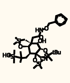 CC(C)(C[C@H]1[C@@H](O[Si](C)(C)C)[C@@](C)(CC(=O)NOCc2ccccc2)[C@H](O)[C@H](O[Si](C)(C)C(C)(C)C)[C@]1(C#N)O[Si](C)(C)C)[Si](C)(C)O